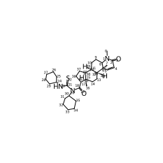 CN1C(=O)C=C[C@@]2(C)C1CC[C@@H]1[C@H]2CC[C@]2(C)C(C(=O)N(C(=S)NC3CCCCC3)C3CCCCC3)CC[C@@H]12